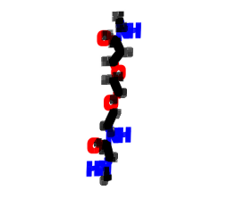 CNCC(=O)NCCOCCOCCC(=O)NC